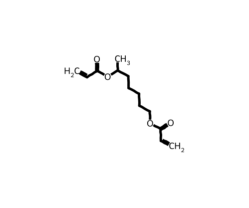 C=CC(=O)OCCCCCC(C)OC(=O)C=C